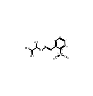 O=C(O)C(Cl)ON=Cc1ccccc1[N+](=O)[O-]